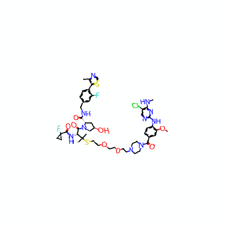 CNc1nc(Nc2ccc(C(=O)N3CCN(CCOCCOCCSC(C)(C)[C@H](NC(=O)C4(F)CC4)C(=O)N4C[C@H](O)C[C@H]4C(=O)NCc4ccc(-c5scnc5C)c(F)c4)CC3)cc2OC)ncc1Cl